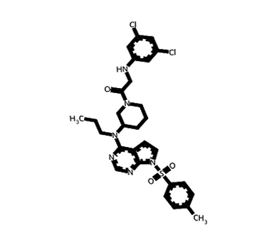 CCCN(c1ncnc2c1ccn2S(=O)(=O)c1ccc(C)cc1)C1CCCN(C(=O)CNc2cc(Cl)cc(Cl)c2)C1